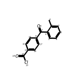 Cc1ccccc1C(=O)c1ccc(C(=O)Cl)cc1